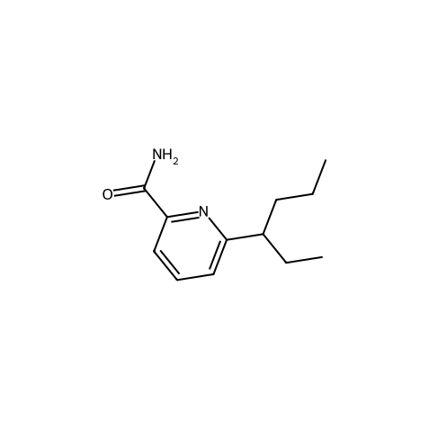 CCCC(CC)c1cccc(C(N)=O)n1